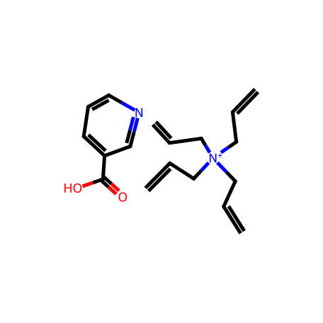 C=CC[N+](CC=C)(CC=C)CC=C.O=C(O)c1cccnc1